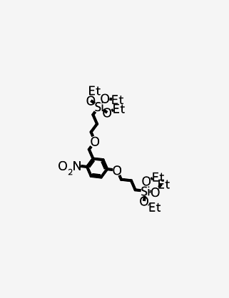 CCO[Si](CCCOCc1cc(OCCC[Si](OCC)(OCC)OCC)ccc1[N+](=O)[O-])(OCC)OCC